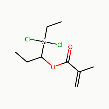 C=C(C)C(=O)OC(CC)[Si](Cl)(Cl)CC